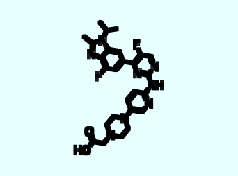 Cc1nc2c(F)cc(-c3nc(Nc4ccc(N5CCN(CC(=O)O)CC5)cn4)ncc3F)cc2n1C(C)C